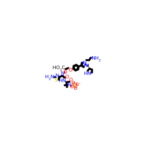 CC1(C)[C@H](NC(=O)/C(=N\O[C@@H](COc2ccc(-c3cn(CCCN)[n+](C[C@@H]4CCNC4)c3)cc2)C(=O)O)c2csc(N)n2)C(=O)N1OS(=O)(=O)[O-]